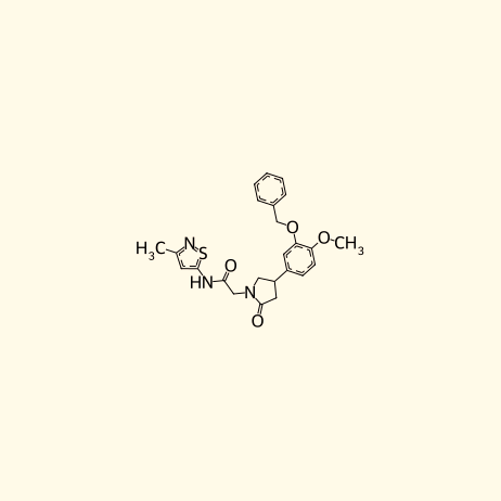 COc1ccc(C2CC(=O)N(CC(=O)Nc3cc(C)ns3)C2)cc1OCc1ccccc1